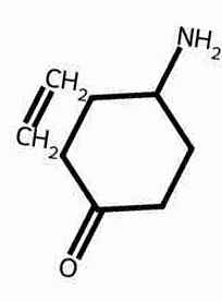 C=C.NC1CCC(=O)CC1